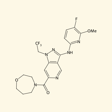 COc1nc(Nc2nn(CC(F)(F)F)c3cc(C(=O)N4CCCOCC4)ncc23)ccc1F